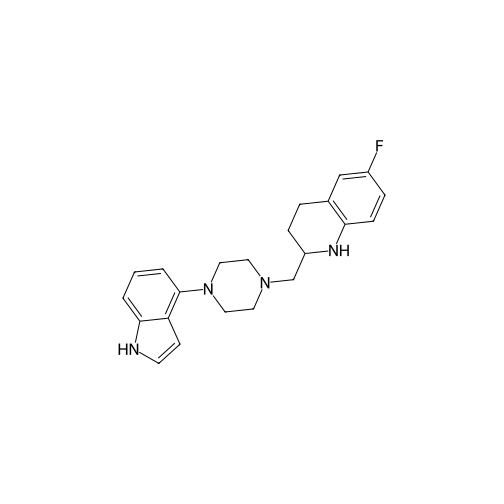 Fc1ccc2c(c1)CCC(CN1CCN(c3cccc4[nH]ccc34)CC1)N2